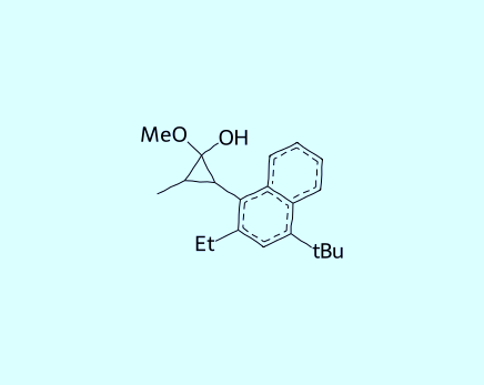 CCc1cc(C(C)(C)C)c2ccccc2c1C1C(C)C1(O)OC